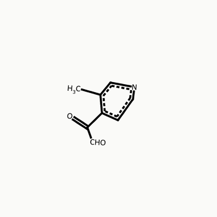 Cc1cnccc1C(=O)C=O